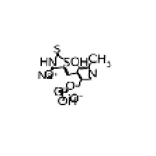 Cc1ncc(COP(=O)([O-])O)c(/C=C2\SC(=S)NC2=O)c1O.[Na+]